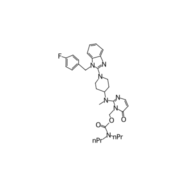 CCCN(CCC)C(=O)OCn1c(N(C)C2CCN(c3nc4ccccc4n3Cc3ccc(F)cc3)CC2)nccc1=O